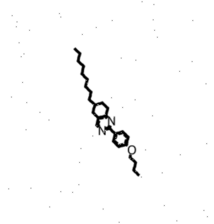 CCCCCCCCCC1CCc2nc(-c3ccc(OCCCC)cc3)ncc2C1